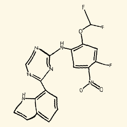 O=[N+]([O-])c1cc(Nc2ncnc(-c3cccc4cc[nH]c34)n2)c(OC(F)F)cc1F